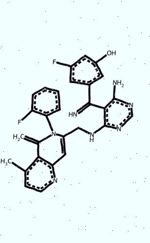 C=C1c2c(C)ccnc2C=C(CNc2ncnc(N)c2C(=N)c2cc(O)cc(F)c2)N1c1ccccc1F